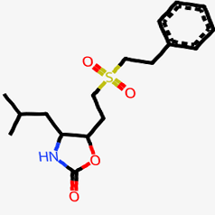 CC(C)CC1NC(=O)OC1CCS(=O)(=O)CCc1ccccc1